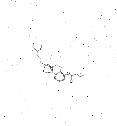 CCCC(=O)Oc1cccc2c1CCC13CCCCC21CCN(CCCC(CC)CC)C3